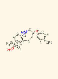 CCc1ccc(OC2CCc3cc(C(O)(C(F)(F)F)C(F)(F)F)ccc3NC2)cc1